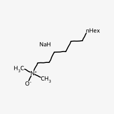 CCCCCCCCCCCC[N+](C)(C)[O-].[NaH]